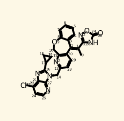 CC(=C1c2ccccc2OCc2nc(Cn3c(C4CC4)nc4c(Cl)ccnc43)ccc21)c1noc(=O)[nH]1